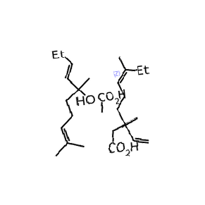 C=CC(C)(CC/C=C(/C)CC)CC(=O)O.CC(=O)O.CCC=CC(C)(O)CCC=C(C)C